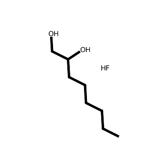 CCCCCCC(O)CO.F